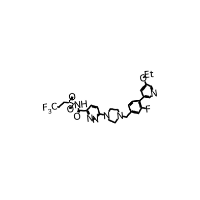 CCOc1cncc(-c2ccc(CN3CCN(c4ccc(C(=O)NS(=O)(=O)CCC(F)(F)F)nn4)CC3)cc2F)c1